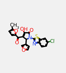 Cc1ccc(C(=O)C2=C(O)C(=O)N(c3nc4ccc(Cl)cc4s3)C2c2ccoc2)o1